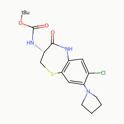 CC(C)(C)OC(=O)N[C@H]1CSc2cc(N3CCCC3)c(Cl)cc2NC1=O